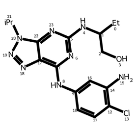 CCC(CO)Nc1nc(Nc2ccc(Cl)c(N)c2)c2nnn(C(C)C)c2n1